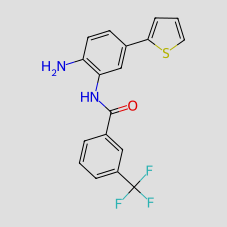 Nc1ccc(-c2cccs2)cc1NC(=O)c1cccc(C(F)(F)F)c1